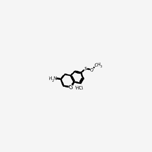 COSc1ccc2c(c1)CC(N)CO2.Cl